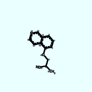 CC(O)COc1cccc2cnccc12